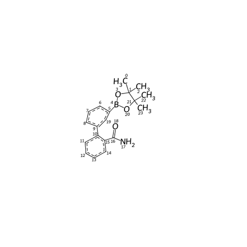 CC1(C)OB(c2cccc(-c3ccccc3C(N)=O)c2)OC1(C)C